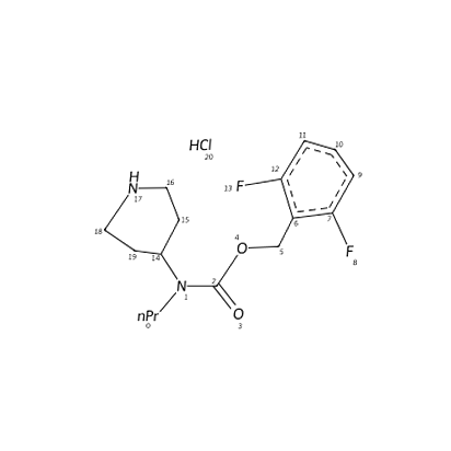 CCCN(C(=O)OCc1c(F)cccc1F)C1CCNCC1.Cl